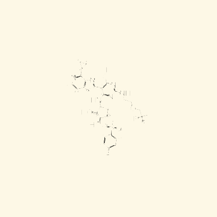 Cc1nc(NCCOCC(F)(F)F)nc(NC2C[C@H](CS(=O)(=O)c3ccc(F)cc3)[C@@H](O)[C@H]2O)c1-c1nc2c(C3CC3)nccc2s1